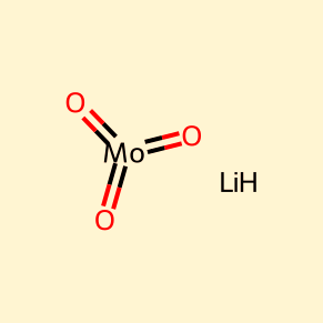 [LiH].[O]=[Mo](=[O])=[O]